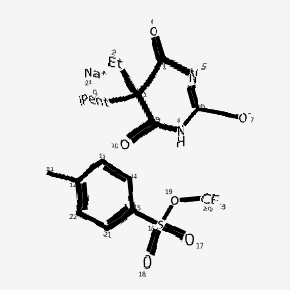 CCCC(C)C1(CC)C(=O)N=C([O-])NC1=O.Cc1ccc(S(=O)(=O)OC(F)(F)F)cc1.[Na+]